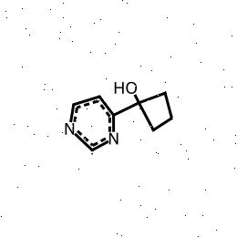 OC1(c2ccn[c]n2)CCC1